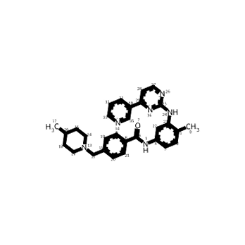 Cc1ccc(NC(=O)c2ccc(CN3CCC(C)CC3)cc2)cc1Nc1nccc(-c2cccnc2)n1